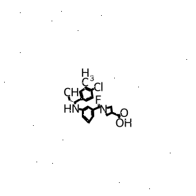 CC[C@@H](Nc1cccc(C(F)N2CC(C(=O)O)C2)c1)c1ccc(Cl)c(C)c1